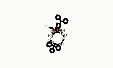 O=C1CNC(=O)C(O[SiH3])C(CS)(/C(=C/CCS)c2ccc(C(c3ccccc3)c3ccccc3)cc2)OOC(=O)CCCNC(=O)C(C(c2ccccc2)(c2ccccc2)c2ccccc2)N1